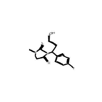 CN1CC(=O)N(C(CCO)c2ccc(F)cc2)C1=S